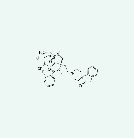 CN(C[C@](CCN1CCC2(CC1)c1ccccc1C[S+]2[O-])(c1ccc(Cl)c(Cl)c1)N(C)C(=O)c1ccccc1F)C(=O)CC(F)(F)F